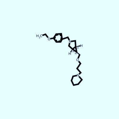 CCOc1ccc(CN2C[C@@H]3[C@@H](COCCCN4CCCCC4)[C@@H]3C2)cc1